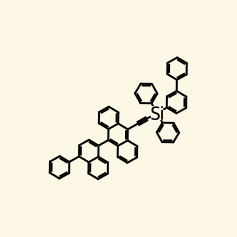 C(#C[Si](c1ccccc1)(c1ccccc1)c1cccc(-c2ccccc2)c1)c1c2ccccc2c(-c2ccc(-c3ccccc3)c3ccccc23)c2ccccc12